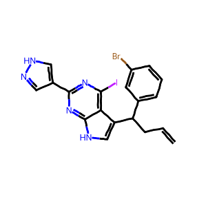 C=CCC(c1cccc(Br)c1)c1c[nH]c2nc(-c3cn[nH]c3)nc(I)c12